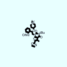 COc1ccccc1C(Cn1c(=O)n(C(C)(C)C)c(=O)c2c(C)c(-c3ncco3)sc21)OC1CCN(C(C)=O)CC1